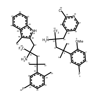 COc1ccc(F)cc1C(C)(C)CC(N)(Cc1ccnc(Cl)c1)C(F)(F)F.Cc1ccc(F)cc1C(C)(C)CC(N)(Cc1[nH]c2ccccc2c1C)C(F)(F)F